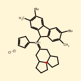 Cc1cc2c(cc1C(C)(C)C)-c1cc(C(C)(C)C)c(C)cc1[CH]2[Zr+2]([C]1=CC=CC1)=[C](CC1CCCC1)CC1CCCC1.[Cl-].[Cl-]